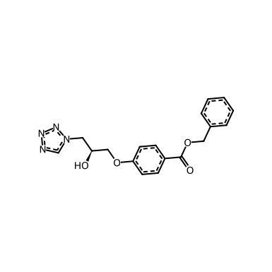 O=C(OCc1ccccc1)c1ccc(OC[C@@H](O)Cn2cnnn2)cc1